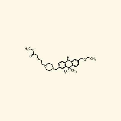 CCOCc1ccc2c(c1)Nc1ccc(CN3CCN(CCOCC(=O)OC)CC3)cc1C2(C)C